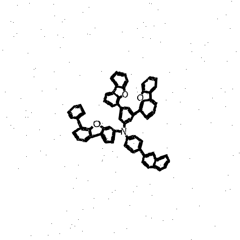 c1ccc(-c2cccc3c2oc2cc(N(c4ccc(-c5ccc6ccccc6c5)cc4)c4cc(-c5cccc6c5oc5ccccc56)cc(-c5cccc6c5oc5ccccc56)c4)ccc23)cc1